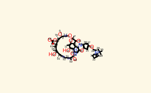 CO[C@H]1/C=C/O[C@@]2(C)Oc3c(C)c(O)c4c(=O)c(c5oc6cc(OCC[N+]7(C(C)(C)C)CC8CCC7C8)ccc6nc-5c4c3C2=O)NC(=O)/C(C)=C\C=C\[C@H](C)[C@H](O)[C@@H](C)[C@@H](C)[C@@H](C)[C@H](OC(C)=O)[C@@H]1C